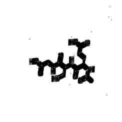 CC(=O)N[C@@H](CCC(=O)O)C(=O)N[C@@H](CS)C(=O)NCC(=O)O